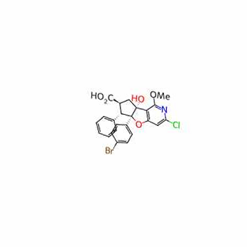 COc1nc(Cl)cc2c1[C@]1(O)C[C@H](C(=O)O)[C@@H](c3ccccc3)[C@]1(c1ccc(Br)cc1)O2